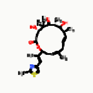 C/C1=C/CC(/C(C)=C/c2csc(C)n2)OC(=O)C[C@H](O)C(C)(C)C(=O)[C@H](C)[C@@H](O)[C@@H](C)/C=C/C1